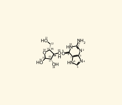 Nc1nc2nc[nH]c2c(=O)[nH]1.OC[C@H]1OC(O)[C@@H](O)[C@@H]1O